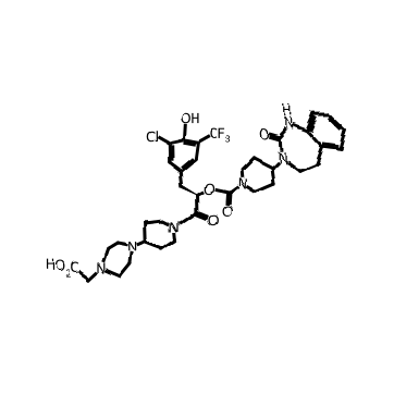 O=C(O)CN1CCN(C2CCN(C(=O)[C@@H](Cc3cc(Cl)c(O)c(C(F)(F)F)c3)OC(=O)N3CCC(N4CCc5ccccc5NC4=O)CC3)CC2)CC1